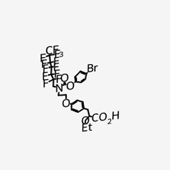 CCOC(Cc1ccc(OCCN(CC(F)(F)C(F)(F)C(F)(F)C(F)(F)C(F)(F)C(F)(F)F)C(=O)Oc2ccc(Br)cc2)cc1)C(=O)O